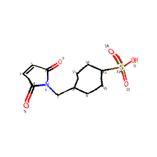 O=C1C=CC(=O)N1CC1CCC(S(=O)(=O)O)CC1